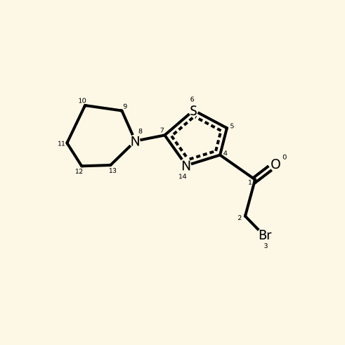 O=C(CBr)c1csc(N2CCCCC2)n1